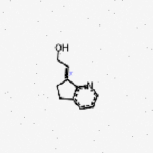 OC/C=C1\CCc2cccnc21